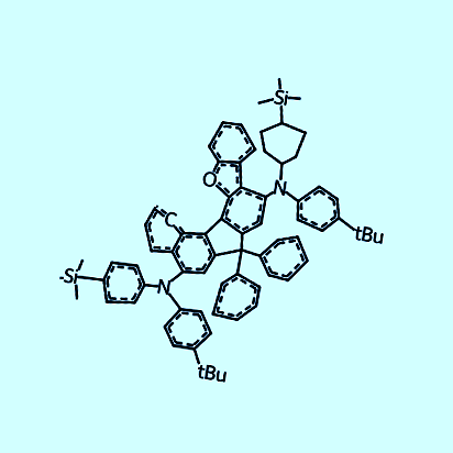 CC(C)(C)c1ccc(N(c2ccc([Si](C)(C)C)cc2)c2cc3c(c4ccccc24)-c2c(cc(N(c4ccc(C(C)(C)C)cc4)C4CCC([Si](C)(C)C)CC4)c4c2oc2ccccc24)C3(c2ccccc2)c2ccccc2)cc1